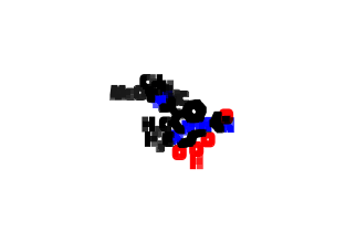 COC(C)(C)Cn1cc([C@@H](c2ccccc2C#N)[C@H](C)c2nc(C(=O)Nc3cnoc3)c(O)c(=O)n2C)cn1